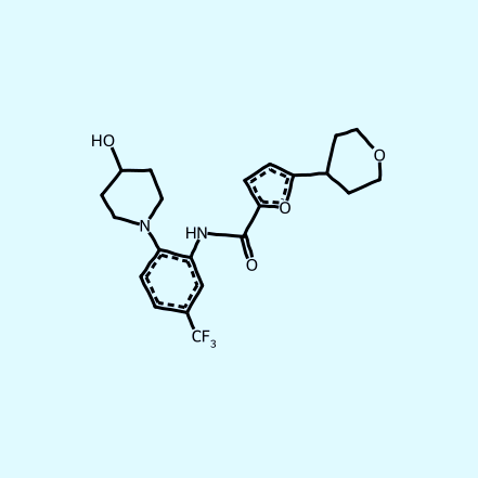 O=C(Nc1cc(C(F)(F)F)ccc1N1CCC(O)CC1)c1ccc(C2CCOCC2)o1